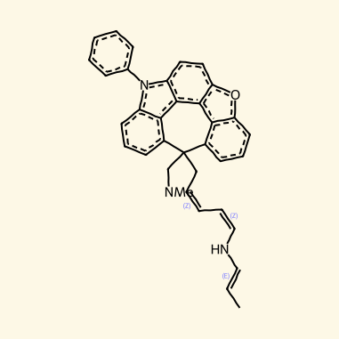 C/C=C/N/C=C\C=C/CC1(CNC)c2cccc3oc4ccc5c(c6c1cccc6n5-c1ccccc1)c4c23